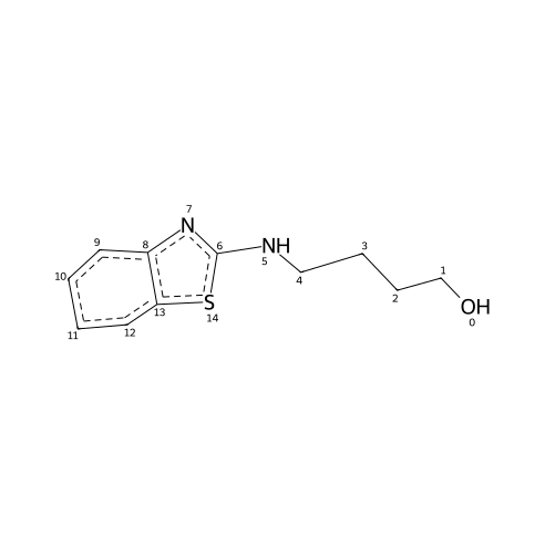 OCCCCNc1nc2ccccc2s1